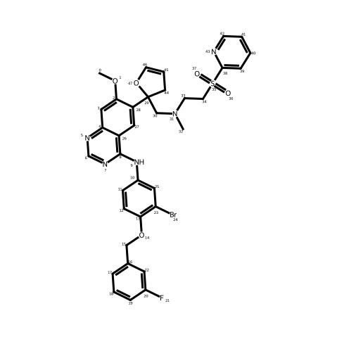 COc1cc2ncnc(Nc3ccc(OCc4cccc(F)c4)c(Br)c3)c2cc1C1(CN(C)CCS(=O)(=O)c2ccccn2)CC=CO1